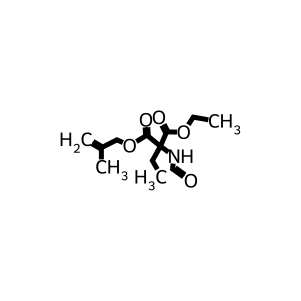 C=C(C)COC(=O)C(CC)(NC=O)C(=O)OCC